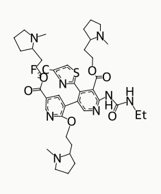 CCNC(=O)Nc1ncc(-c2cc(C(=O)OCCC3CCCN3C)cnc2OCCC2CCCN2C)c(-c2nc(C(F)(F)F)cs2)c1C(=O)OCCC1CCCN1C